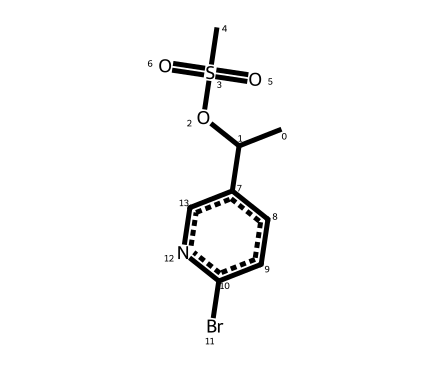 CC(OS(C)(=O)=O)c1ccc(Br)nc1